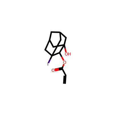 C=CC(=O)OC1C2(O)CC3CC(C2)CC1(I)C3